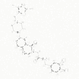 Cc1nc(C)c(CN2CCN(c3ccc4ncn(CC(=O)NCc5ccc(Cl)c(Cl)c5)c(=O)c4c3)CC2)o1